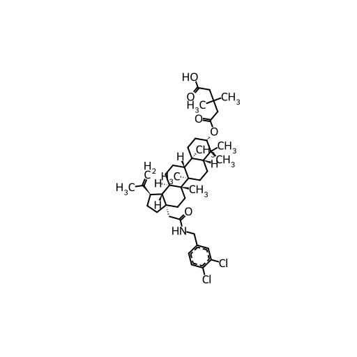 C=C(C)[C@@H]1CC[C@]2(CC(=O)NCc3ccc(Cl)c(Cl)c3)CC[C@]3(C)[C@H](CC[C@@H]4[C@@]5(C)CC[C@H](OC(=O)CC(C)(C)CC(=O)O)C(C)(C)[C@@H]5CC[C@]43C)[C@@H]12